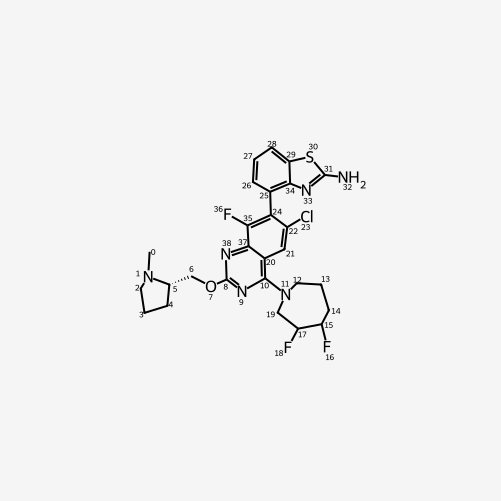 CN1CCC[C@H]1COc1nc(N2CCCC(F)C(F)C2)c2cc(Cl)c(-c3cccc4sc(N)nc34)c(F)c2n1